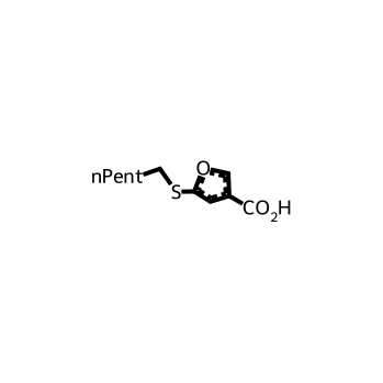 CCCCCCSc1cc(C(=O)O)co1